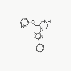 c1ccc(-c2csc(N3CCNCC3COc3cccnc3)n2)cc1